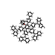 Cc1ccc2c(c1)c1ccccc1n2-c1ccc(-c2c(-c3ccc(-c4ccccc4)nc3-c3ccccc3)c(C#N)c(-c3ccc(-n4c5ccccc5c5ccccc54)cc3)c(-c3ccc(-n4c5ccccc5c5ccccc54)cc3)c2-c2ccc(-n3c4ccccc4c4ccccc43)cc2)cc1